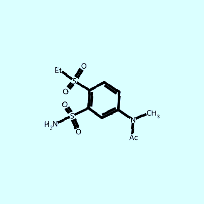 CCS(=O)(=O)c1ccc(N(C)C(C)=O)cc1S(N)(=O)=O